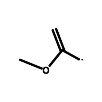 [CH2]C(=C)OC